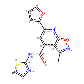 Cc1noc2nc(-c3ccco3)cc(C(=O)Nc3nccs3)c12